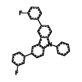 Fc1cccc(-c2ccc3c(c2)c2cc(-c4cccc(F)c4)ccc2n3-c2ccccc2)c1